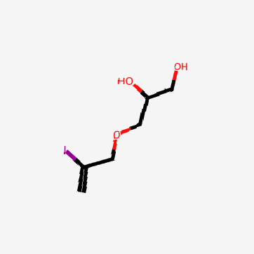 C=C(I)COCC(O)CO